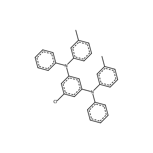 Cc1cccc(N(c2ccccc2)c2cc(Cl)cc(N(c3ccccc3)c3cccc(C)c3)c2)c1